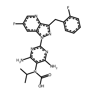 CC(C)N(C(=O)O)c1c(N)nc(-n2nc(Cc3ccccc3F)c3ncc(F)cc32)nc1N